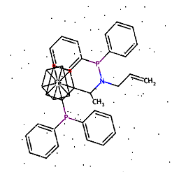 C=CCN(C(C)[C]12[CH]3[CH]4[CH]5[C]1(P(c1ccccc1)c1ccccc1)[Fe]43521678[CH]2[CH]1[CH]6[CH]7[CH]28)P(c1ccccc1)c1ccccc1